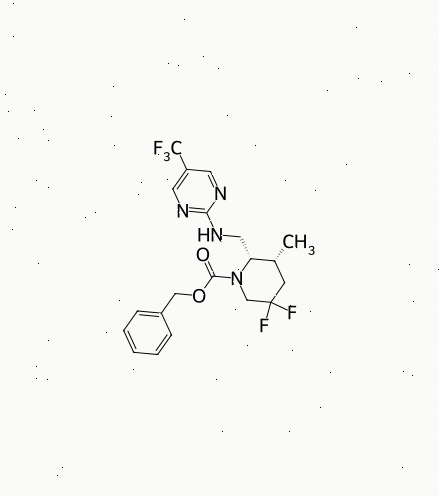 C[C@@H]1CC(F)(F)CN(C(=O)OCc2ccccc2)[C@@H]1CNc1ncc(C(F)(F)F)cn1